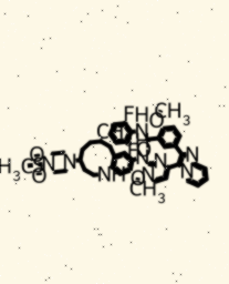 COc1cc2c(cc1Nc1nccc(-c3c(-c4ccc(OC)c(C(=O)Nc5c(F)cccc5F)c4)nc4ccccn34)n1)C[C@@H](C)CCC(N1CCN(S(C)(=O)=O)CC1)CCN2